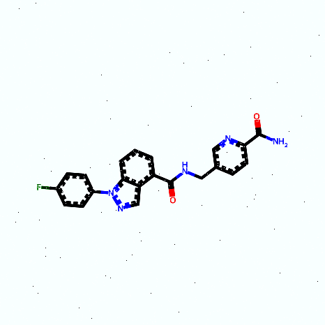 NC(=O)c1ccc(CNC(=O)c2cccc3c2cnn3-c2ccc(F)cc2)cn1